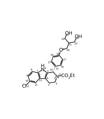 CCOC(=O)N1CCc2c([nH]c3ccc(Cl)cc23)[C@@H]1c1ccc(OCC(CO)CO)cc1